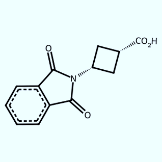 O=C1c2ccccc2C(=O)N1[C@H]1C[C@@H](C(=O)O)C1